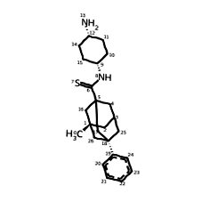 C[C@]12CC3CC(C(=S)N[C@H]4CC[C@@H](N)CC4)(C1)C[C@@](c1ccccc1)(C3)C2